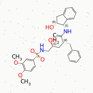 C=C(N[C@H]1c2ccccc2C[C@H]1O)[C@H](Cc1ccccc1)C[C@H](O)CNS(=O)(=O)c1ccc(OC)c(OC)c1